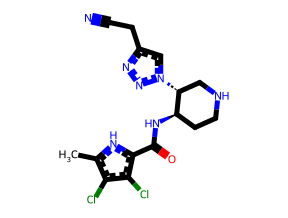 Cc1[nH]c(C(=O)N[C@@H]2CCNC[C@H]2n2cc(CC#N)nn2)c(Cl)c1Cl